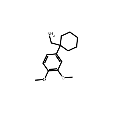 COc1ccc(C2(CN)C[CH]CCC2)cc1OC